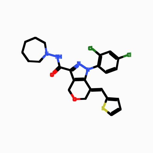 O=C(NN1CCCCCC1)c1nn(-c2ccc(Cl)cc2Cl)c2c1COCC2=Cc1cccs1